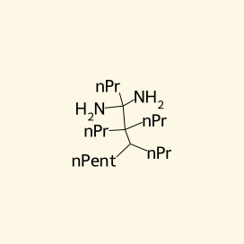 CCCCCC(CCC)C(CCC)(CCC)C(N)(N)CCC